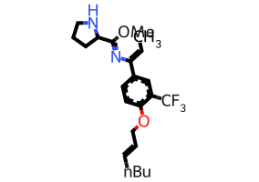 C/C=C(\N=C(/OC)C1CCCN1)c1ccc(OC/C=C/CCCC)c(C(F)(F)F)c1